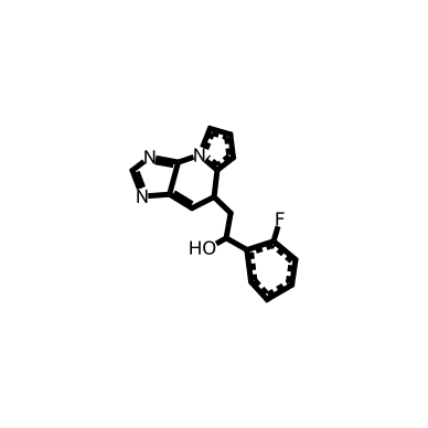 OC(CC1C=C2N=CN=C2n2cccc21)c1ccccc1F